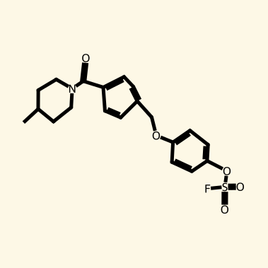 CC1CCN(C(=O)c2ccc(COc3ccc(OS(=O)(=O)F)cc3)cc2)CC1